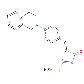 CSC1=NC(=O)C(=Cc2ccc(N3CCc4ccccc4C3)cc2)S1